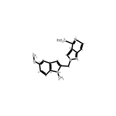 CCOC(=O)c1nccc2nn(Cc3cc4cc(OC(F)(F)F)ccc4n3C)cc12